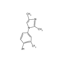 Cc1cn(-c2ccc(C(C)C)c(C(F)(F)F)c2)c(C)n1